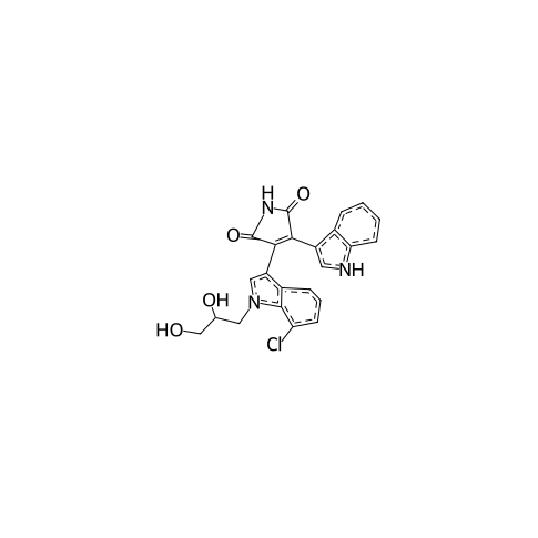 O=C1NC(=O)C(c2cn(CC(O)CO)c3c(Cl)cccc23)=C1c1c[nH]c2ccccc12